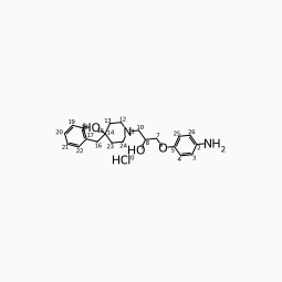 Cl.Nc1ccc(OCC(O)CN2CCC(O)(Cc3ccccc3)CC2)cc1